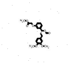 COC(=O)COc1cccc([C@@H](CCc2ccc(OC)c(OC)c2)OC=O)c1